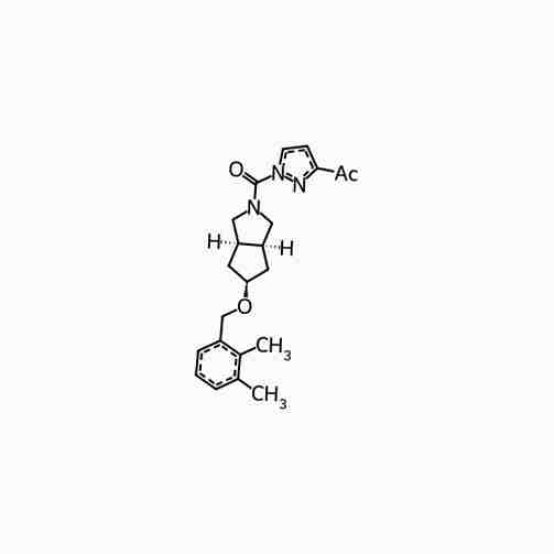 CC(=O)c1ccn(C(=O)N2C[C@H]3C[C@@H](OCc4cccc(C)c4C)C[C@H]3C2)n1